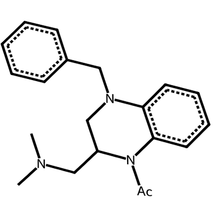 CC(=O)N1c2ccccc2N(Cc2ccccc2)CC1CN(C)C